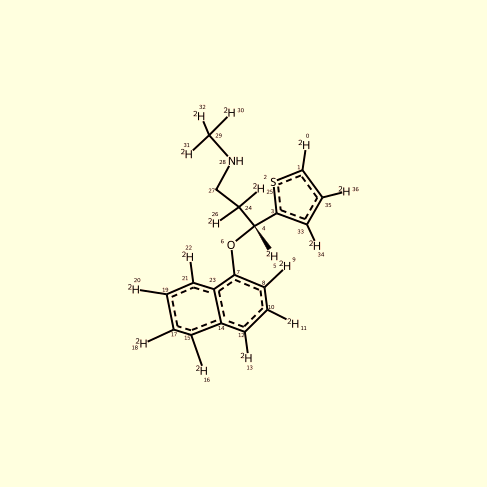 [2H]c1sc([C@]([2H])(Oc2c([2H])c([2H])c([2H])c3c([2H])c([2H])c([2H])c([2H])c23)C([2H])([2H])CNC([2H])([2H])[2H])c([2H])c1[2H]